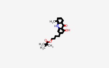 Cc1cccc2c(=O)c3c(O)cc(CCCCOC(=O)C(C)(C)C)cc3[nH]c12